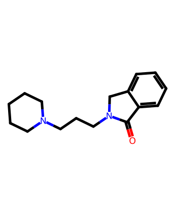 O=C1c2ccccc2CN1CCCN1CCCCC1